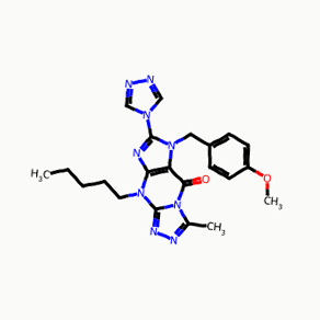 CCCCCn1c2nc(-n3cnnc3)n(Cc3ccc(OC)cc3)c2c(=O)n2c(C)nnc12